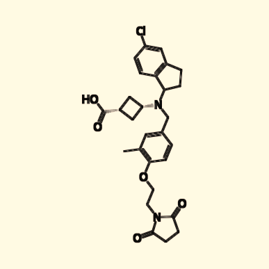 Cc1cc(CN(C2CCc3cc(Cl)ccc32)[C@H]2C[C@@H](C(=O)O)C2)ccc1OCCN1C(=O)CCC1=O